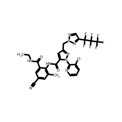 CCNC(=O)c1cc(C#N)cc(C)c1NC(=O)c1cc(Cn2ncc(C(F)(F)C(F)(F)C(F)(F)F)n2)nn1-c1ncccc1Cl